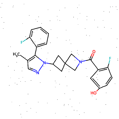 Cc1cnn(C2CC3(C2)CN(C(=O)c2cc(O)ccc2F)C3)c1-c1ccccc1F